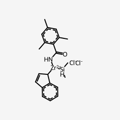 Cc1cc(C)c(C(=O)[NH][Zr+2]([CH]2C=Cc3ccccc32)[SiH](C)C)c(C)c1.[Cl-].[Cl-]